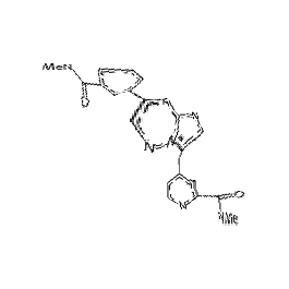 CNC(=O)c1cccc(-c2cnn3c(-c4ccnc(C(=O)NC)c4)cnc3c2)c1